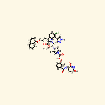 Cc1nn(C)c(C)c1-c1c(Cl)ccc2c(CCCOc3cccc4ccccc34)c(C(=O)OC(C)(C)C)n(CCN3C[C@@H]4C[C@H]3CN4C(=O)COc3cccc4c3CN(C3CCC(=O)NC3=O)C4=O)c12